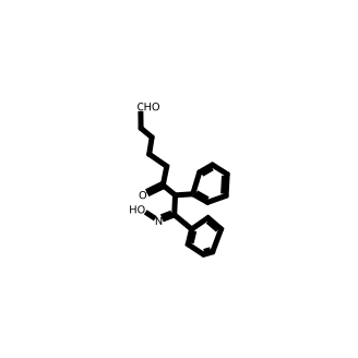 O=CCCCCC(=O)C(C(=NO)c1ccccc1)c1ccccc1